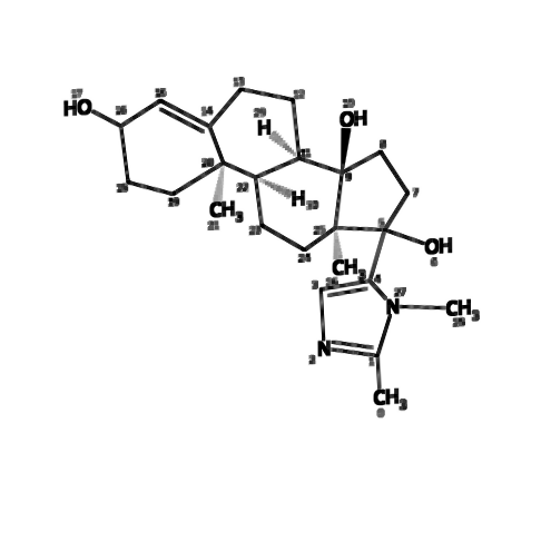 Cc1ncc(C2(O)CC[C@@]3(O)[C@@H]4CCC5=CC(O)CC[C@]5(C)[C@@H]4CC[C@]23C)n1C